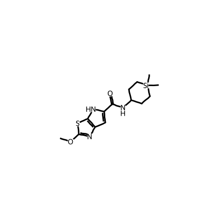 COc1nc2cc(C(=O)NC3CC[Si](C)(C)CC3)[nH]c2s1